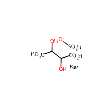 O=C(O)C(O)C(O)C(=O)O.O=S(=O)([O-])O.[Na+]